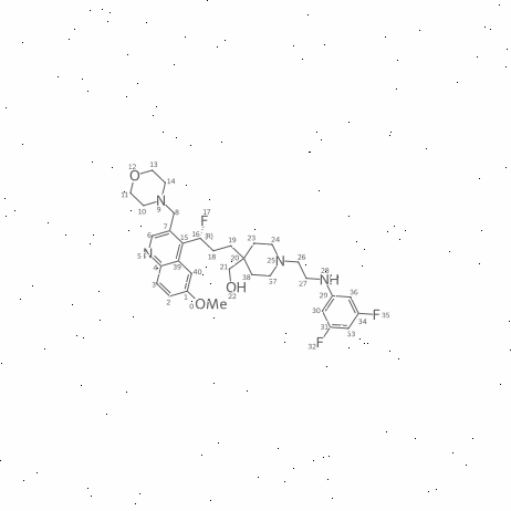 COc1ccc2ncc(CN3CCOCC3)c([C@H](F)CCC3(CO)CCN(CCNc4cc(F)cc(F)c4)CC3)c2c1